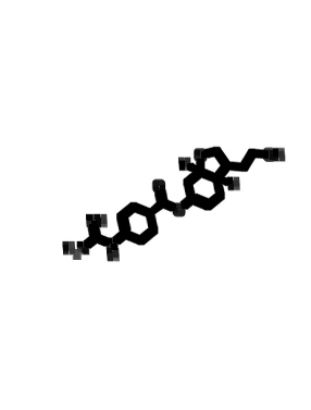 N=C(N)NC1=CC[C@@H](C(=O)OC2=CC[C@H]3C(CCO)CO[C@H]3C2)CC1